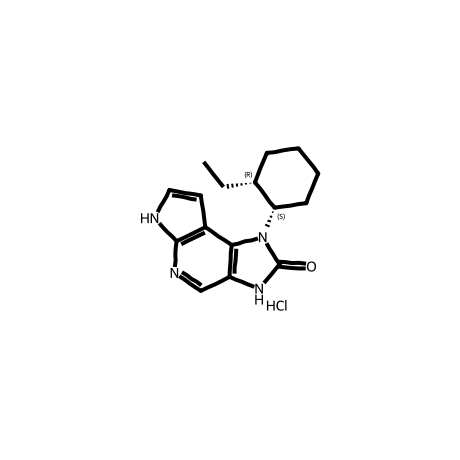 CC[C@@H]1CCCC[C@@H]1n1c(=O)[nH]c2cnc3[nH]ccc3c21.Cl